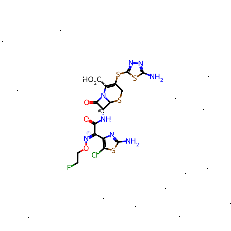 Nc1nnc(SC2=C(C(=O)O)N3C(=O)[C@@H](NC(=O)/C(=N/OCCF)c4nc(N)sc4Cl)C3SC2)s1